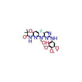 COc1cc(Nc2ncc(F)c(N(CO)c3ccc4c(n3)NC(=O)C(C)(C)O4)n2)cc(OC)c1OC